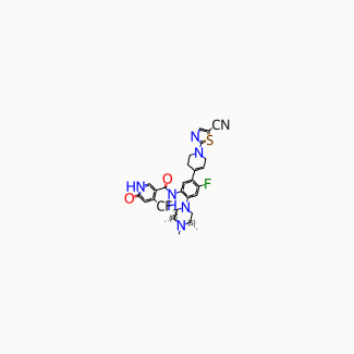 C[C@@H]1CN(c2cc(F)c(C3=CCN(c4ncc(C#N)s4)CC3)cc2NC(=O)c2c[nH]c(=O)cc2C(F)(F)F)C[C@H](C)N1C